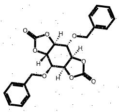 O=C1O[C@@H]2[C@@H](OCc3ccccc3)[C@@H]3OC(=O)O[C@H]3[C@H](OCc3ccccc3)[C@@H]2O1